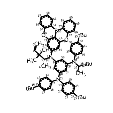 C=CC(C)(C)[C@@H](C)N(c1cc(N(c2ccc(C(C)(C)C)cc2)c2ccc(C(C)(C)C)cc2)cc(N(c2ccc(C(C)(C)C)cc2)C(C)[C@H](C)CC)c1)c1cc2c3c(c1)Oc1ccccc1B3c1ccccc1O2